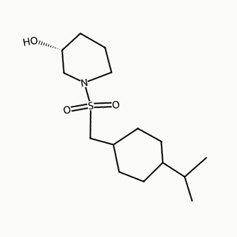 CC(C)C1CCC(CS(=O)(=O)N2CCC[C@@H](O)C2)CC1